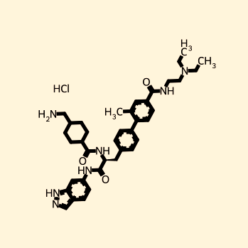 CCN(CC)CCNC(=O)c1ccc(-c2ccc(C[C@H](NC(=O)C3CCC(CN)CC3)C(=O)Nc3ccc4cn[nH]c4c3)cc2)c(C)c1.Cl